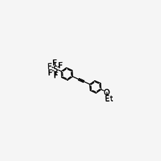 CCOc1ccc(C#Cc2ccc(S(F)(F)(F)(F)F)cc2)cc1